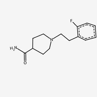 NC(=O)C1CCN(CCc2ccccc2F)CC1